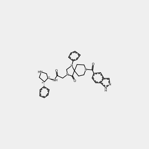 O=C(CN1CN(c2ccccc2)C2(CCN(C(=O)c3ccc4[nH]ncc4c3)CC2)C1=O)N[C@@H]1CNC[C@H]1c1ccccc1